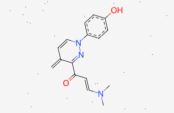 C=C1C=CN(c2ccc(O)cc2)N=C1C(=O)/C=C/N(C)C